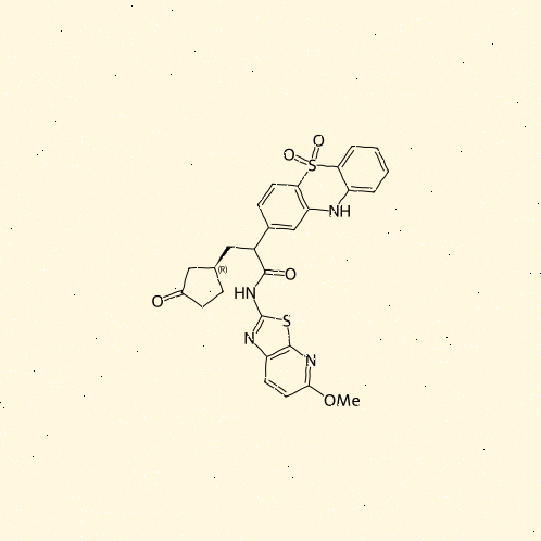 COc1ccc2nc(NC(=O)C(C[C@H]3CCC(=O)C3)c3ccc4c(c3)Nc3ccccc3S4(=O)=O)sc2n1